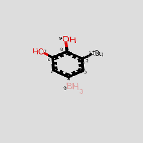 B.CC(C)(C)c1cccc(O)c1O